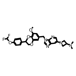 COc1cc(Cn2cnc3cc(N4CC(N(C)C)C4)cnc32)cc2c1OC(c1ccc(OC(F)F)cc1)CO2